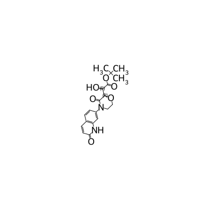 CC(C)(C)OC(=O)[C@H](O)[C@H]1OCCN(c2ccc3ccc(=O)[nH]c3c2)C1=O